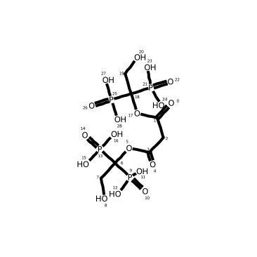 O=C(CC(=O)OC(CO)(P(=O)(O)O)P(=O)(O)O)OC(CO)(P(=O)(O)O)P(=O)(O)O